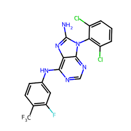 Nc1nc2c(Nc3ccc(C(F)(F)F)c(F)c3)ncnc2n1-c1c(Cl)cccc1Cl